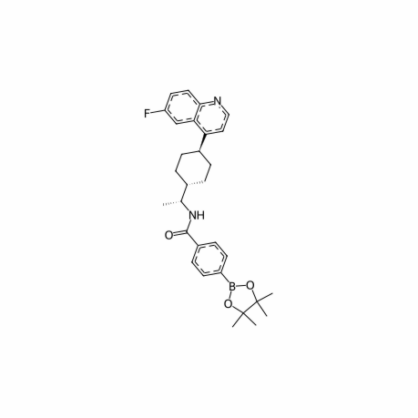 C[C@@H](NC(=O)c1ccc(B2OC(C)(C)C(C)(C)O2)cc1)[C@H]1CC[C@H](c2ccnc3ccc(F)cc32)CC1